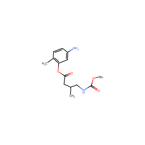 Cc1ccc(N)cc1OC(=O)CC(C)CNC(=O)OC(C)(C)C